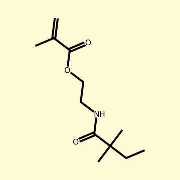 C=C(C)C(=O)OCCNC(=O)C(C)(C)CC